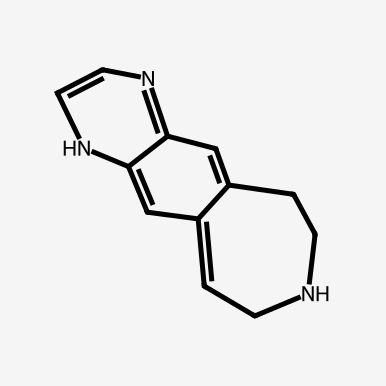 C1=CNc2cc3c(cc2=N1)CCNCC=3